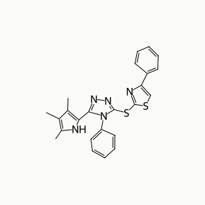 Cc1[nH]c(-c2nnc(Sc3nc(-c4ccccc4)cs3)n2-c2ccccc2)c(C)c1C